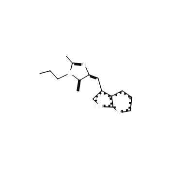 CCCN1C(=O)C(=Cc2c[nH]c3ncccc23)N=C1C